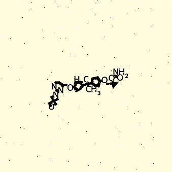 CC(C)(c1ccc(OCc2ccnc(N3CC4(COC4)C3)n2)cc1)c1ccc(OCC2(OC(N)=O)CC2)cc1